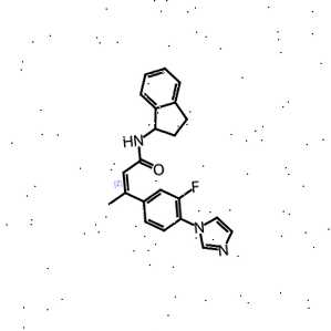 C/C(=C/C(=O)NC1CCc2ccccc21)c1ccc(-n2ccnc2)c(F)c1